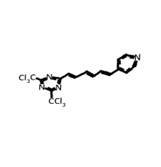 ClC(Cl)(Cl)c1nc(C=CC=CC=Cc2ccncc2)nc(C(Cl)(Cl)Cl)n1